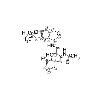 CC(=O)N[C@@H](Cc1cc(F)cc(F)c1)[C@@H](O)CNC1COCc2ccc(CC(C)(C)C)cc21